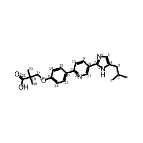 CC(C)Cc1cnc(-c2ccc(-c3ccc(OCC(C)(C)C(=O)O)cc3)nc2)[nH]1